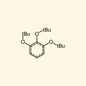 CC(C)(C)Oc1cccc(OC(C)(C)C)c1OC(C)(C)C